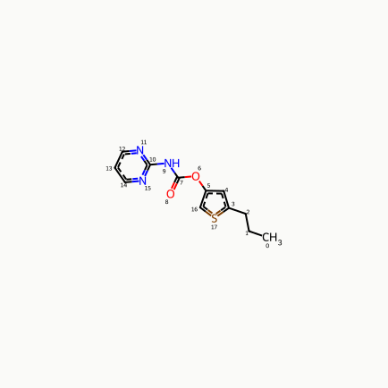 CCCc1cc(OC(=O)Nc2ncccn2)cs1